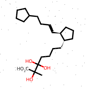 CC(O)(C(=O)O)C(O)(O)CCCC[C@H]1CCC[C@@H]1/C=C/CCC1CCCC1